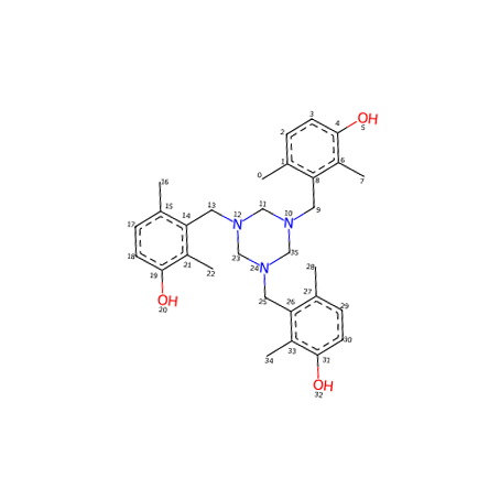 Cc1ccc(O)c(C)c1CN1CN(Cc2c(C)ccc(O)c2C)CN(Cc2c(C)ccc(O)c2C)C1